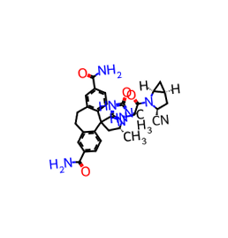 C[C@H](CC1(c2nn(C)c(=O)[nH]2)c2ccc(C(N)=O)cc2CCc2cc(C(N)=O)ccc21)NCC(=O)N1[C@H](C#N)C[C@@H]2C[C@@H]21